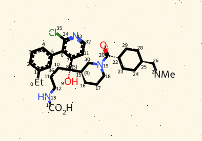 CCc1cccc(-c2c([C@](O)(CCCNC(=O)O)[C@@H]3CCCN(C(=O)[C@H]4CC[C@H](CNC)CC4)C3)ccnc2Cl)c1